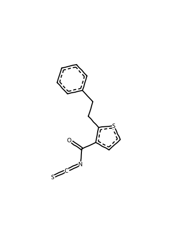 O=C(N=C=S)c1ccsc1CCc1ccccc1